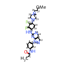 C=CC(=O)Nc1cccc(-n2ncc3cnc(Nc4ccc(N5CCN(CCOC)CC5)c(F)c4F)nc32)c1